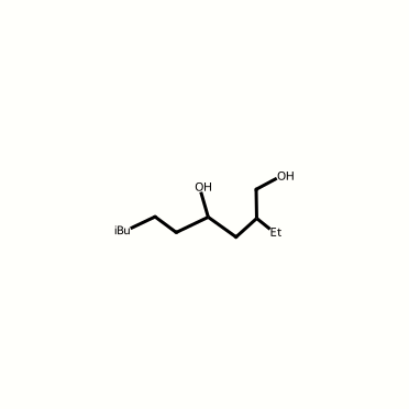 CCC(C)CCC(O)CC(CC)CO